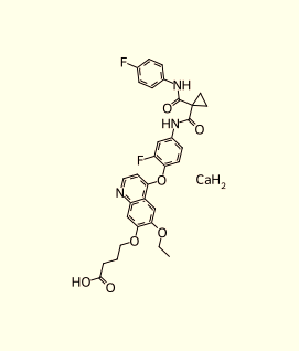 CCOc1cc2c(Oc3ccc(NC(=O)C4(C(=O)Nc5ccc(F)cc5)CC4)cc3F)ccnc2cc1OCCCC(=O)O.[CaH2]